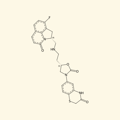 O=C1CSc2ccc(N3C[C@H](CCNC[C@H]4Cc5c(F)ccc6ccc(=O)n4c56)OC3=O)cc2N1